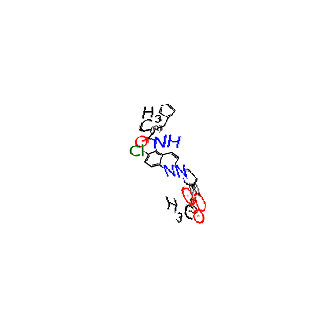 C[C@H](Cc1ccccc1)C(=O)Nc1c(Cl)ccc2nc(N3CC[C@@H](OS(C)(=O)=O)C3)ccc12